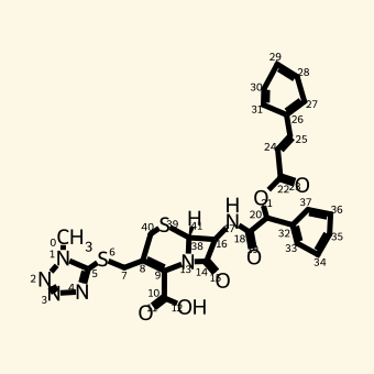 Cn1nnnc1SCC1=C(C(=O)O)N2C(=O)C(NC(=O)C(OC(=O)/C=C/c3ccccc3)c3ccccc3)[C@H]2SC1